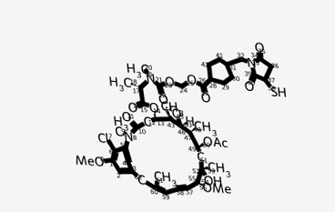 COc1cc2cc(c1Cl)N(C)C(=O)C[C@H](OC(=O)[C@H](C)N(C)C(=O)OCOC(=O)C1CCC(CN3C(=O)CC(S)C3=O)CC1)[C@]1(C)O[C@H]1[C@H](C)[C@@H](OC(C)=O)C[C@](C)(O)[C@H](OC)/C=C/C=C(\C)C2